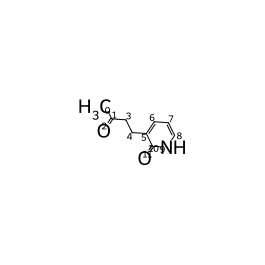 CC(=O)CCc1ccc[nH]c1=O